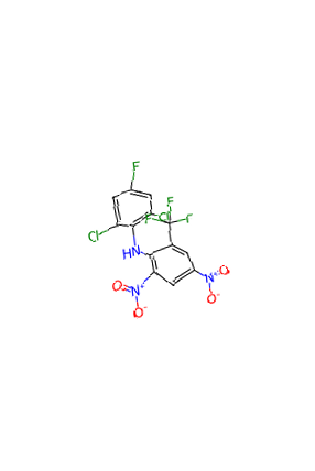 O=[N+]([O-])c1cc([N+](=O)[O-])c(Nc2c(Cl)cc(F)cc2Cl)c(C(F)(F)F)c1